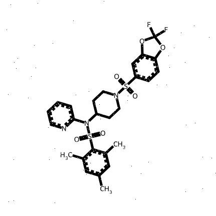 Cc1cc(C)c(S(=O)(=O)N(c2ccccn2)C2CCN(S(=O)(=O)c3ccc4c(c3)OC(F)(F)O4)CC2)c(C)c1